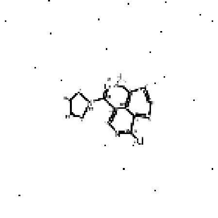 Cc1cccc2c(Cl)ncc(C(=O)N3CCCC3)c12